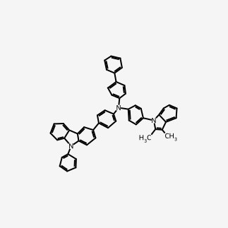 Cc1c(C)n(-c2ccc(N(c3ccc(-c4ccccc4)cc3)c3ccc(-c4ccc5c(c4)c4ccccc4n5-c4ccccc4)cc3)cc2)c2ccccc12